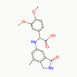 COc1ccc(C(Nc2cc(C)c3c(c2)C(=O)NC3)C(=O)O)cc1OC